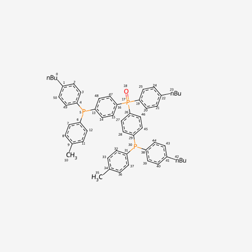 CCCCc1ccc(P(c2ccc(C)cc2)c2ccc(P(=O)(c3ccc(CCCC)cc3)c3ccc(P(c4ccc(C)cc4)c4ccc(CCCC)cc4)cc3)cc2)cc1